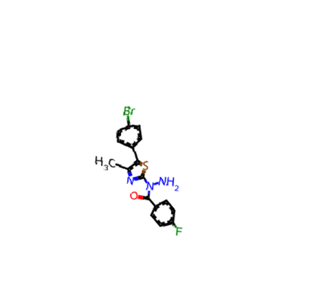 Cc1nc(N(N)C(=O)c2ccc(F)cc2)sc1-c1ccc(Br)cc1